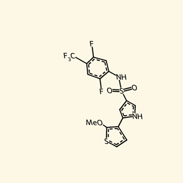 COc1sccc1-c1cc(S(=O)(=O)Nc2cc(F)c(C(F)(F)F)cc2F)c[nH]1